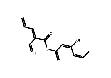 C=C/C=C(\C=P)C(=O)OC(=C)/C=C(O)\C=C/C